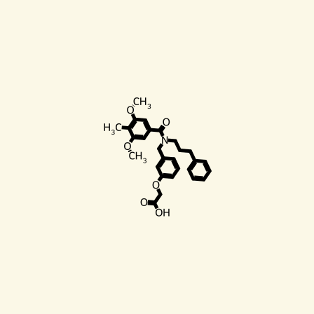 COc1cc(C(=O)N(CCCc2ccccc2)Cc2cccc(OCC(=O)O)c2)cc(OC)c1C